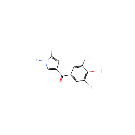 CCn1cc(C(=O)c2cc(C(C)(C)C)c(O)c(C(C)(C)C)c2)cc1S